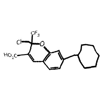 O=C(O)C1=Cc2ccc(C3CCCCC3)cc2OC1(Cl)C(F)(F)F